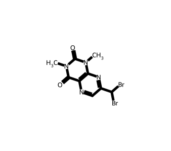 Cn1c(=O)c2ncc(C(Br)Br)nc2n(C)c1=O